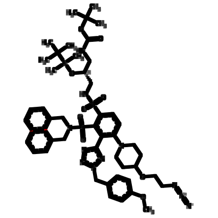 COc1ccc(Cn2nnc(-c3c(N4CCC(OCCN=[N+]=[N-])CC4)ccc(S(=O)(=O)NC[C@@H](CNC(=O)OC(C)(C)C)O[Si](C)(C)C(C)(C)C)c3S(=O)(=O)N(Cc3ccccc3)Cc3ccccc3)n2)cc1